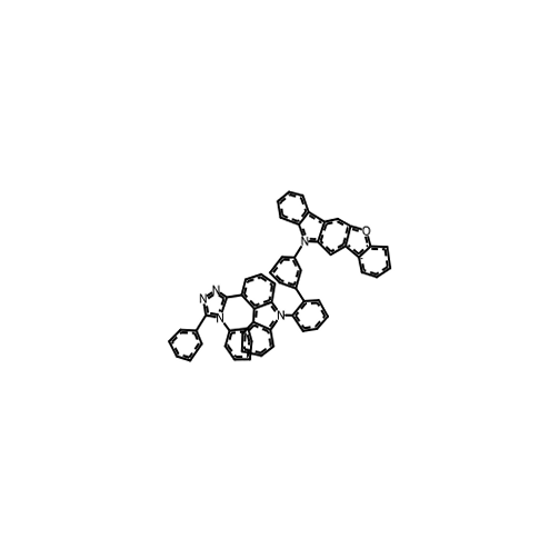 c1ccc(-c2nnc(-c3cccc4c3c3ccccc3n4-c3ccccc3-c3cccc(-n4c5ccccc5c5cc6oc7ccccc7c6cc54)c3)n2-c2ccccc2)cc1